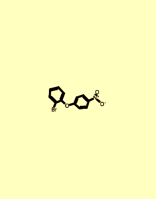 O=[N+]([O-])c1ccc(Oc2ccccc2Br)cc1